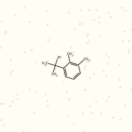 Cc1cccc(C(C)(C)C(C)C)c1C